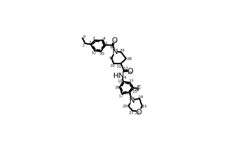 CCc1ccc(C(=O)N2CCC(C(=O)Nc3ccc(N4CCOCC4)c(F)c3)CC2)cc1